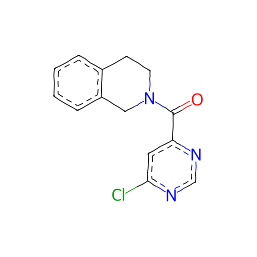 O=C(c1cc(Cl)ncn1)N1CCc2ccccc2C1